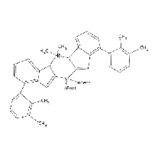 CCCCC[Si]1(CCCCC)C2=Cc3c(-c4cccc(C)c4C)cccc3[CH]2[Hf]([CH3])([CH3])[CH]2C1=Cc1c(-c3cccc(C)c3C)cccc12